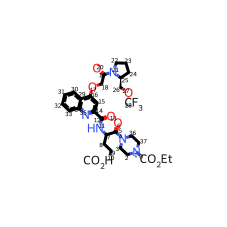 CCOC(=O)N1CCN(C(=O)C(CCC(=O)O)NC(=O)c2cc(OCC(=O)N3CCC[C@H]3COC(F)(F)F)c3ccccc3n2)CC1